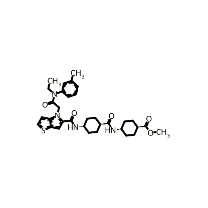 CCN(C(=O)Cn1c(C(=O)N[C@H]2CC[C@H](C(=O)N[C@H]3CC[C@H](C(=O)OC)CC3)CC2)cc2sccc21)c1cccc(C)c1